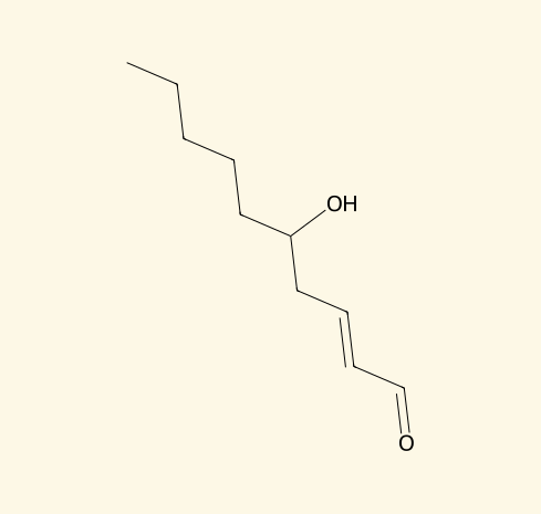 CCCCCC(O)CC=CC=O